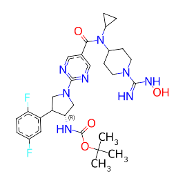 CC(C)(C)OC(=O)N[C@H]1CN(c2ncc(C(=O)N(C3CC3)C3CCN(C(=N)NO)CC3)cn2)CC1c1cc(F)ccc1F